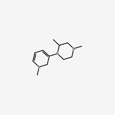 CC1CN(C)CCN1C1=CC=CN(C)C1